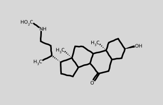 CC(CCNC(=O)O)[C@H]1CCC2C3C(=O)CC4C[C@H](O)CC[C@]4(C)C3CC[C@@]21C